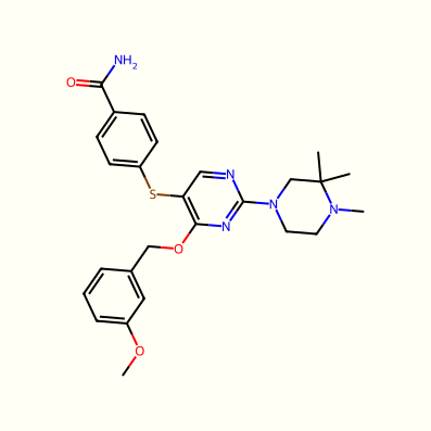 COc1cccc(COc2nc(N3CCN(C)C(C)(C)C3)ncc2Sc2ccc(C(N)=O)cc2)c1